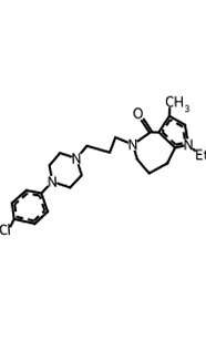 CCn1cc(C)c2c1CCCN(CCCN1CCN(c3ccc(Cl)cc3)CC1)C2=O